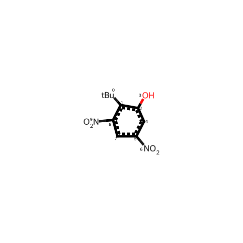 CC(C)(C)c1c(O)cc([N+](=O)[O-])cc1[N+](=O)[O-]